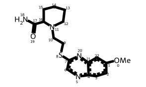 COc1ccc2ncc(SCCN3CC[CH]CC3C(N)=O)nc2c1